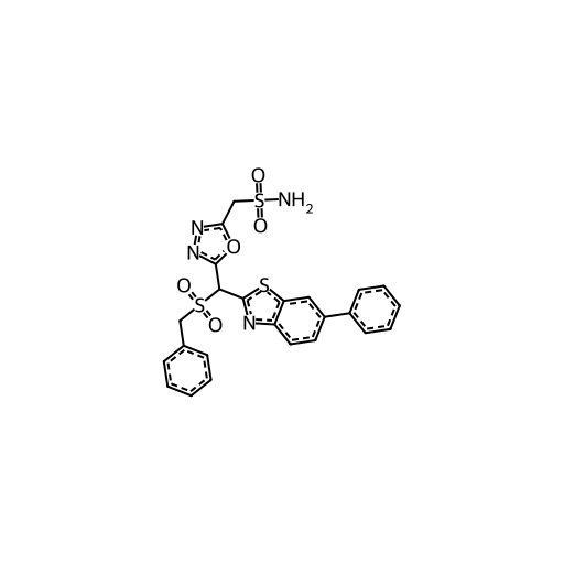 NS(=O)(=O)Cc1nnc(C(c2nc3ccc(-c4ccccc4)cc3s2)S(=O)(=O)Cc2ccccc2)o1